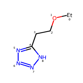 [CH2]COCCc1nnn[nH]1